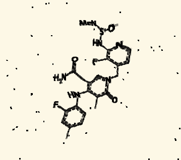 CN[S+]([O-])Nc1nccc(Cn2cc(C(N)=O)c(Nc3ccc(C)cc3F)c(C)c2=O)c1F